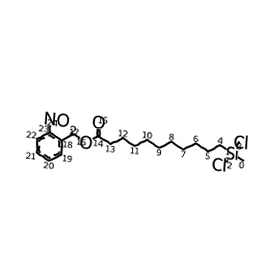 C[Si](Cl)(Cl)CCCCCCCCCCC(=O)OCc1ccccc1[N+](=O)[O-]